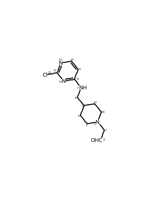 O=CCN1CCC(CNc2ccnc(Cl)n2)CC1